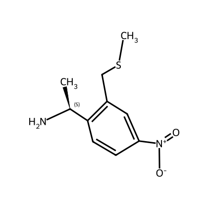 CSCc1cc([N+](=O)[O-])ccc1[C@H](C)N